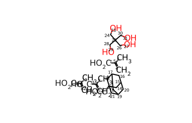 C=C(C)C(=O)O.C=C(C)C(=O)O.C=C(C)C(=O)O.O=C(O)C12CC3CC(CC(C3)C1)C2.OCC(CO)(CO)CO